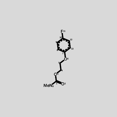 CNC(=O)OCCOc1ccc(F)cc1